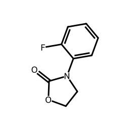 O=C1OCCN1c1ccccc1F